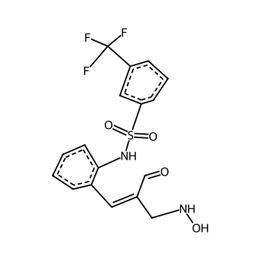 O=C/C(=C\c1ccccc1NS(=O)(=O)c1cccc(C(F)(F)F)c1)CNO